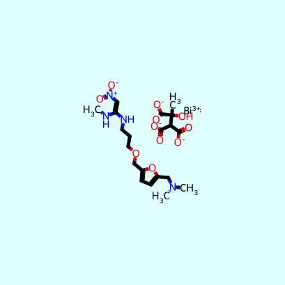 CC(O)(C(=O)[O-])C(C(=O)[O-])C(=O)[O-].CNC(=C[N+](=O)[O-])NCCCOCc1ccc(CN(C)C)o1.[Bi+3]